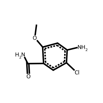 COc1cc(N)c(Cl)cc1C(N)=O